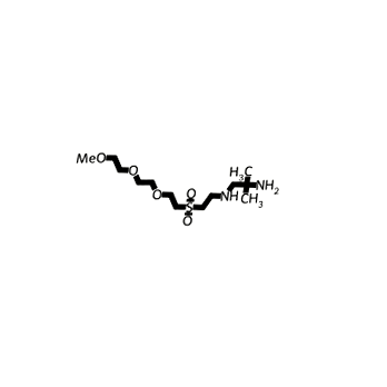 COCCOCCOCCS(=O)(=O)CCNCC(C)(C)N